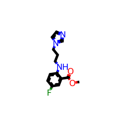 COC(=O)c1cc(F)ccc1NCCCn1ccnc1